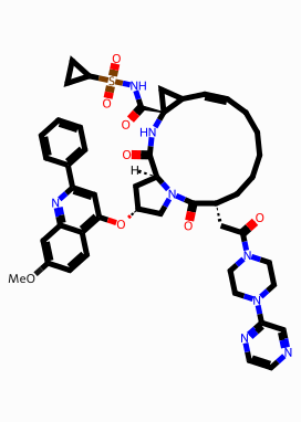 COc1ccc2c(O[C@@H]3C[C@H]4C(=O)N[C@]5(C(=O)NS(=O)(=O)C6CC6)CC5C=CCCCCC[C@H](CC(=O)N5CCN(c6cnccn6)CC5)C(=O)N4C3)cc(-c3ccccc3)nc2c1